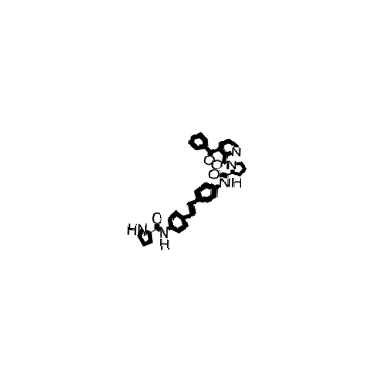 O=C(c1ccccc1)c1cccnc1C(=O)N1CCC[C@H]1C(=O)Nc1ccc(/C=C/c2ccc(NC(=O)[C@@H]3CCCN3)cc2)cc1